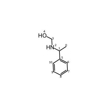 CC(NCO)c1ccccc1